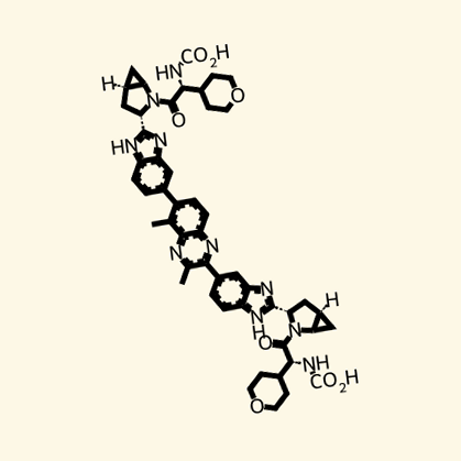 Cc1nc2c(C)c(-c3ccc4[nH]c([C@@H]5C[C@H]6CC6N5C(=O)[C@H](NC(=O)O)C5CCOCC5)nc4c3)ccc2nc1-c1ccc2[nH]c([C@@H]3C[C@H]4CC4N3C(=O)[C@H](NC(=O)O)C3CCOCC3)nc2c1